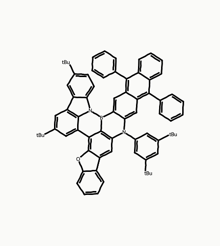 CC(C)(C)c1cc(N2c3cc4c(-c5ccccc5)c5ccccc5c(-c5ccccc5)c4cc3B3c4c2cc2c(oc5ccccc52)c4-c2cc(C(C)(C)C)cc4c5cc(C(C)(C)C)ccc5n3c24)cc(C(C)(C)C)c1